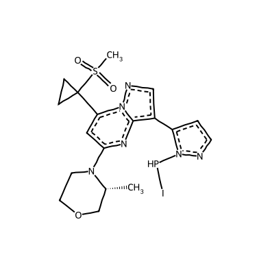 C[C@@H]1COCCN1c1cc(C2(S(C)(=O)=O)CC2)n2ncc(-c3ccnn3PI)c2n1